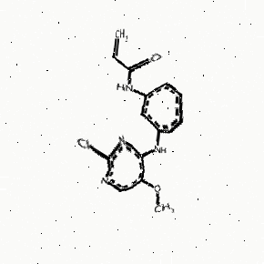 C=CC(=O)Nc1cccc(Nc2nc(Cl)ncc2OC)c1